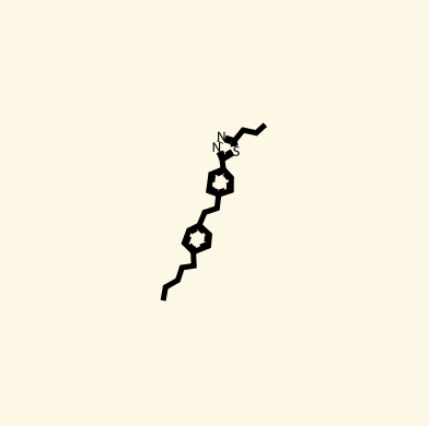 CCCCCc1ccc(CCc2ccc(-c3nnc(CCC)s3)cc2)cc1